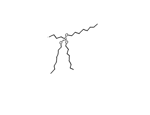 [CH2]CCC[Si](OCCCCCCCC)(OCCCCCCCC)OCCCCCCCC